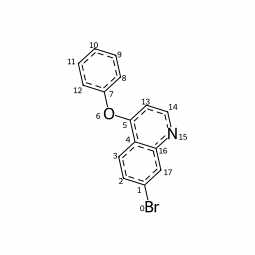 Brc1ccc2c(Oc3ccccc3)ccnc2c1